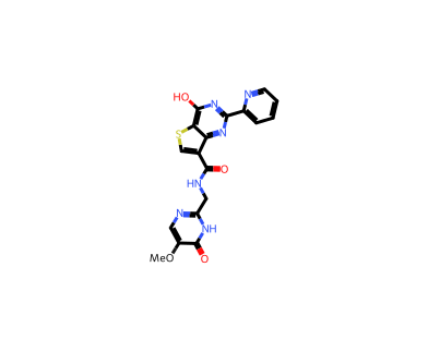 COc1cnc(CNC(=O)c2csc3c(O)nc(-c4ccccn4)nc23)[nH]c1=O